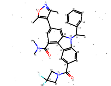 Cc1noc(C)c1-c1cc(C(=O)N(C)C)c2c3cc(C(=O)N4CC(F)(F)C4)ccc3n(C(C)c3ccccc3)c2c1